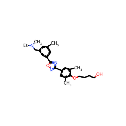 CCN(C)Cc1cc(C)cc(-c2nc(-c3cc(C)c(OCCCCO)c(C)c3)no2)c1